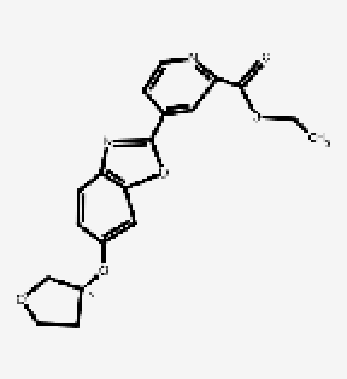 CCOC(=O)c1cc(-c2nc3ccc(O[C@H]4CCOC4)cc3o2)ccn1